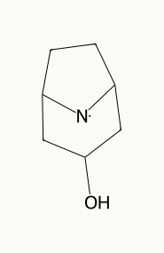 OC1CC2CCC(C1)[N]2